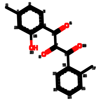 Cc1ccc(C(=O)C(=O)C(=O)c2ccccc2C)c(O)c1